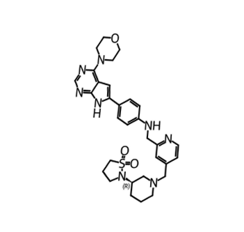 O=S1(=O)CCCN1[C@@H]1CCCN(Cc2ccnc(CNc3ccc(-c4cc5c(N6CCOCC6)ncnc5[nH]4)cc3)c2)C1